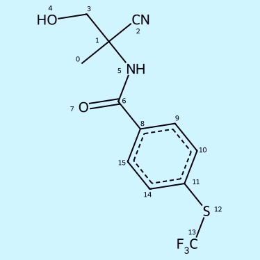 CC(C#N)(CO)NC(=O)c1ccc(SC(F)(F)F)cc1